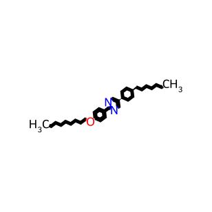 CCCCCCCCCOc1ccc(-c2ncc([C@H]3CC[C@H](CCCCCCC)CC3)cn2)cc1